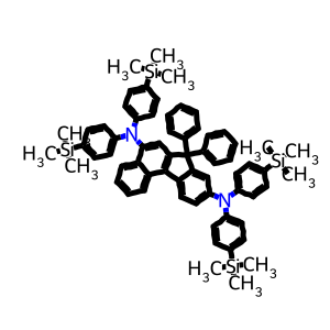 C[Si](C)(C)c1ccc(N(c2ccc([Si](C)(C)C)cc2)c2ccc3c(c2)C(c2ccccc2)(c2ccccc2)c2cc(N(c4ccc([Si](C)(C)C)cc4)c4ccc([Si](C)(C)C)cc4)c4ccccc4c2-3)cc1